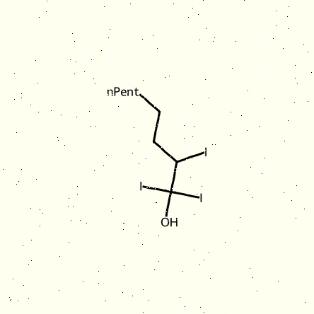 CCCCCCCC(I)C(O)(I)I